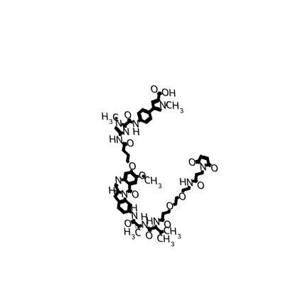 COc1cc2c(cc1OCCCC(=O)Nc1cn(C)c(C(=O)Nc3ccc(-c4cc(C(=O)O)n(C)c4)cc3)n1)N=C[C@@H]1Cc3ccc(NC(=O)[C@H](C)NC(=O)[C@@H](NC(=O)CCOCCOCCNC(=O)CCN4C(=O)C=CC4=O)C(C)C)cc3N1C2=O